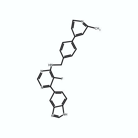 Cc1cc(-c2ccc(CNc3ncnc(-c4ccc5[nH]cnc5c4)c3F)cc2)ccn1